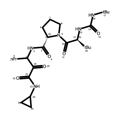 CCCC(NC(=O)[C@@H]1CCCN1C(=O)[C@@H](NC(=O)NC(C)(C)C)C(C)(C)C)C(=O)C(=O)NC1CC1